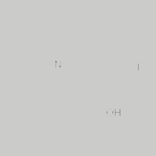 CC(C)N1CCC(I)C(O)C1